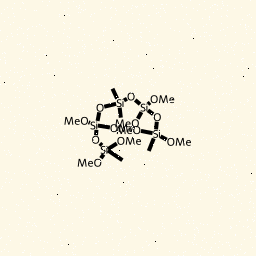 CO[Si](C)(OC)O[Si](OC)(OC)O[Si](C)(C)O[Si](OC)(OC)O[Si](C)(OC)OC